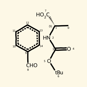 C[C@H](NC(=O)OC(C)(C)C)C(=O)O.O=Cc1ccccc1